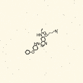 C=CC(=O)Nc1cc2c(Nc3ccc(Oc4ccccc4)cc3)ncnc2cc1OCCCCN(C)C